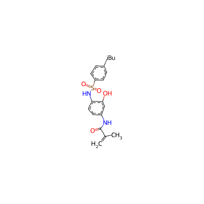 C=C(C)C(=O)Nc1ccc(NS(=O)(=O)c2ccc(C(C)CC)cc2)c(O)c1